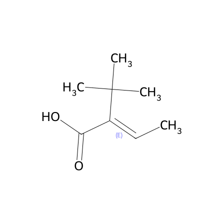 C/C=C(/C(=O)O)C(C)(C)C